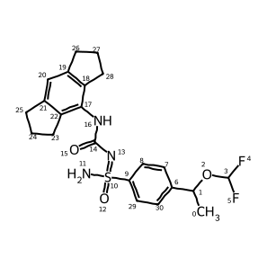 CC(OC(F)F)c1ccc(S(N)(=O)=NC(=O)Nc2c3c(cc4c2CCC4)CCC3)cc1